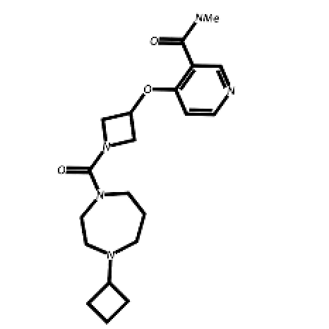 CNC(=O)c1cnccc1OC1CN(C(=O)N2CCCN(C3CCC3)CC2)C1